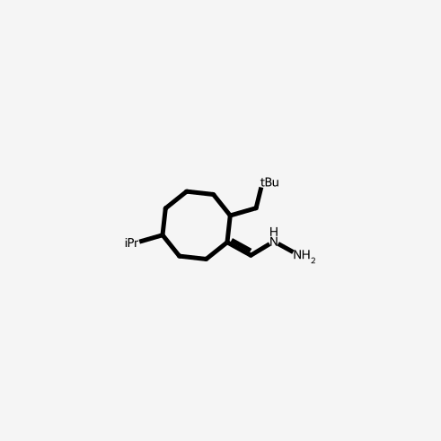 CC(C)C1CCCC(CC(C)(C)C)/C(=C\NN)CC1